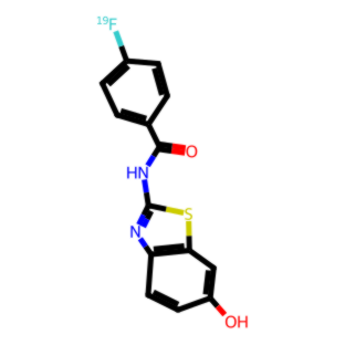 O=C(Nc1nc2ccc(O)cc2s1)c1ccc([19F])cc1